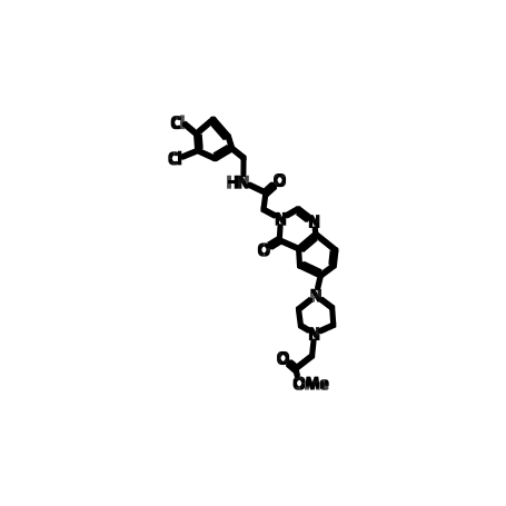 COC(=O)CN1CCN(c2ccc3ncn(CC(=O)NCc4ccc(Cl)c(Cl)c4)c(=O)c3c2)CC1